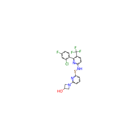 OC1CN(c2cccc(SNc3ccc(C(F)(F)F)c(-c4ccc(F)cc4Cl)n3)n2)C1